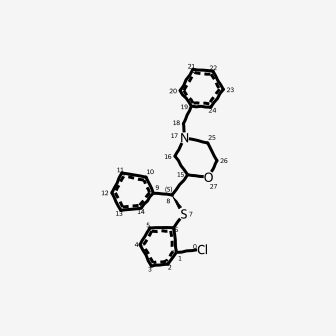 Clc1ccccc1S[C@@H](c1ccccc1)C1CN(Cc2ccccc2)CCO1